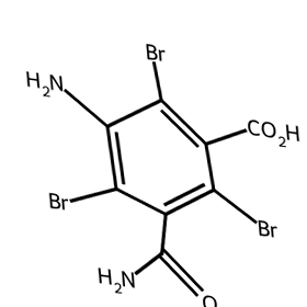 NC(=O)c1c(Br)c(N)c(Br)c(C(=O)O)c1Br